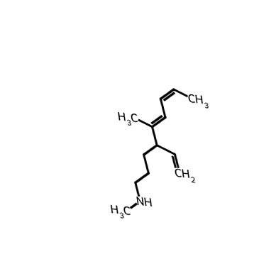 C=CC(CCCNC)/C(C)=C/C=C\C